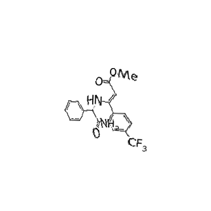 COC(=O)/C=C(\N[C@H](C(N)=O)c1ccccc1)c1ccc(C(F)(F)F)cc1